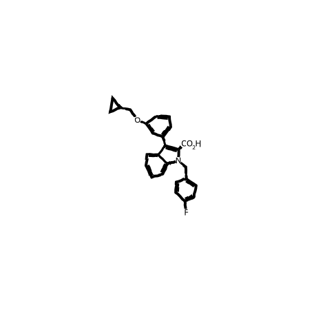 O=C(O)c1c(-c2cccc(OCC3CC3)c2)c2ccccc2n1Cc1ccc(F)cc1